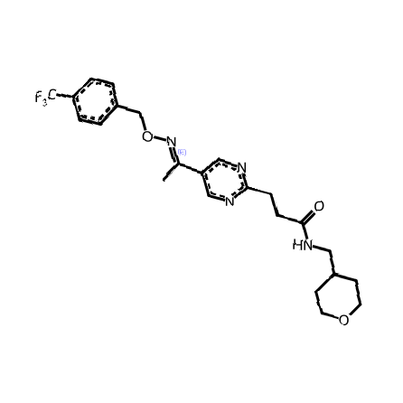 C/C(=N\OCc1ccc(C(F)(F)F)cc1)c1cnc(CCC(=O)NCC2CCOCC2)nc1